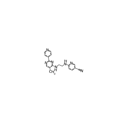 Cc1cnc(-c2ccncc2)nc1NCCNc1ccc(C#N)cn1